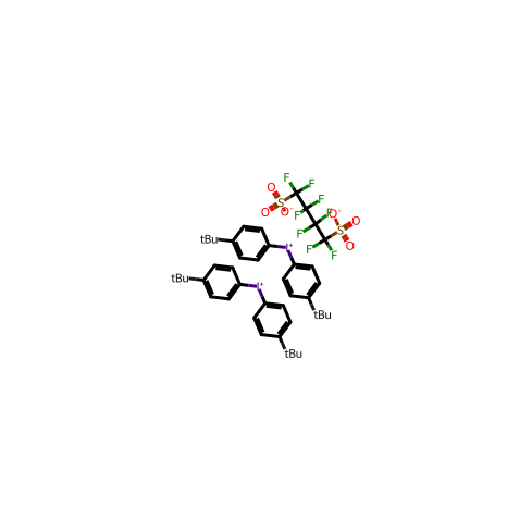 CC(C)(C)c1ccc([I+]c2ccc(C(C)(C)C)cc2)cc1.CC(C)(C)c1ccc([I+]c2ccc(C(C)(C)C)cc2)cc1.O=S(=O)([O-])C(F)(F)C(F)(F)C(F)(F)C(F)(F)S(=O)(=O)[O-]